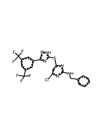 FC(F)(F)c1cc(-c2n[nH]c(Sc3cc(Cl)nc(NCc4ccccc4)n3)n2)cc(C(F)(F)F)c1